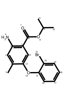 Cc1cc(N)c(C(=O)OC(C)C)cc1Oc1ccccc1Br